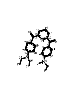 C=C(c1ccc(N(C)CC)cc1)c1cccc(C(=C)c2ccc(N(CC)CC)cc2)n1